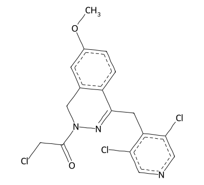 COc1ccc2c(c1)CN(C(=O)CCl)N=C2Cc1c(Cl)cncc1Cl